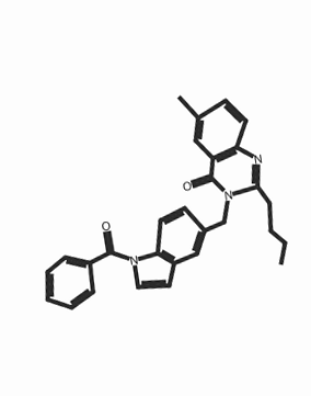 CCCCc1nc2ccc(C)cc2c(=O)n1Cc1ccc2c(ccn2C(=O)c2ccccc2)c1